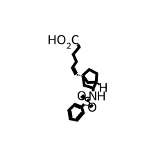 O=C(O)CCC/C=C\[C@]12CC[C@@H](C1)C(NS(=O)(=O)c1ccccc1)C2